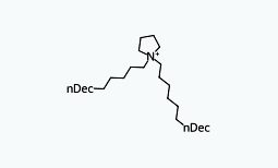 CCCCCCCCCCCCCCCC[N+]1(CCCCCCCCCCCCCCC)CCCC1